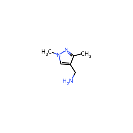 Cc1nn(C)cc1CN